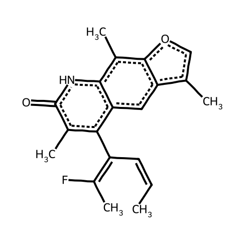 C/C=C\C(=C(/C)F)c1c(C)c(=O)[nH]c2c(C)c3occ(C)c3cc12